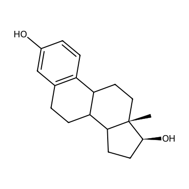 C[C@]12CCC3c4ccc(O)cc4CCC3C1CC[C@@H]2O